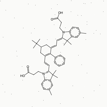 Cc1ccc2c(c1)C(C)(C)C(/C=C/C1=C(c3ccccc3)C(=C/C=C3/N(CCC(=O)O)c4ccc(C)cc4C3(C)C)/CC(C(C)(C)C)C1)=[N+]2CCC(=O)O